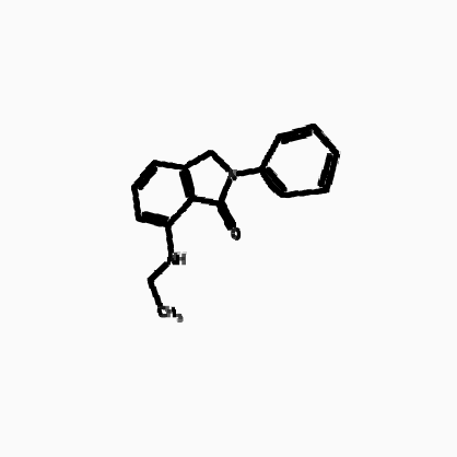 CCNc1cccc2c1C(=O)N(c1ccccc1)C2